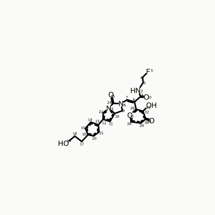 O=C(NCCF)/C(=C/N1Cc2cc(-c3ccc(CCO)cc3)cn2C1=O)c1occc(=O)c1O